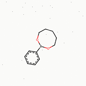 c1ccc(B2OCCCCCO2)cc1